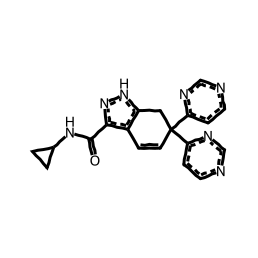 O=C(NC1CC1)c1n[nH]c2c1C=CC(c1ccncn1)(c1ccncn1)C2